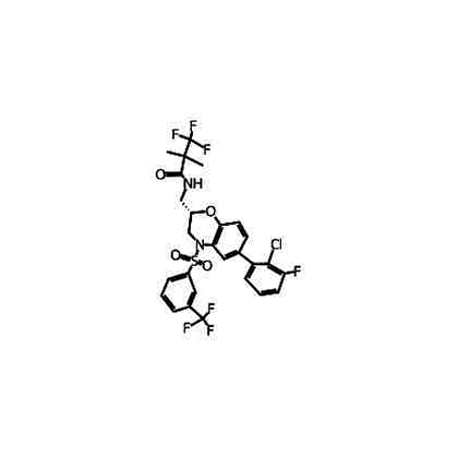 CC(C)(C(=O)NC[C@H]1CN(S(=O)(=O)c2cccc(C(F)(F)F)c2)c2cc(-c3cccc(F)c3Cl)ccc2O1)C(F)(F)F